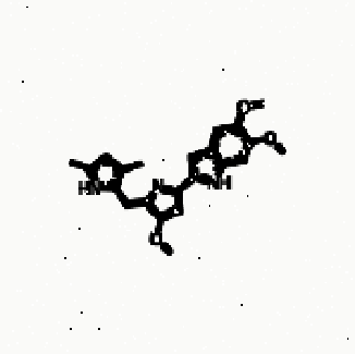 COC1=CC(c2cc3cc(OC)c(OC)cc3[nH]2)=N/C1=C\c1[nH]c(C)cc1C